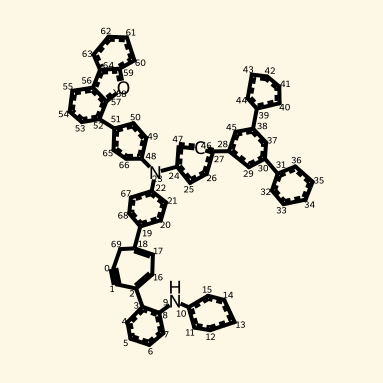 C1#CC(c2ccccc2Nc2ccccc2)=CC=C(c2ccc(N(c3ccc(-c4cc(-c5ccccc5)cc(-c5ccccc5)c4)cc3)c3ccc(-c4cccc5c4oc4ccccc45)cc3)cc2)C1